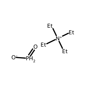 CC[N+](CC)(CC)CC.O=[PH2][O-]